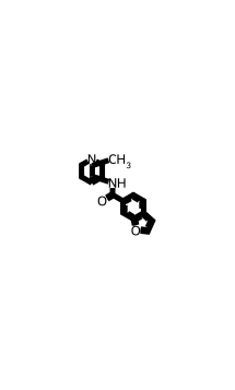 CC1C(NC(=O)c2ccc3ccoc3c2)C2CCN1CC2